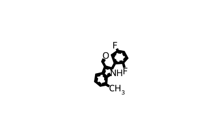 Cc1cccc2c(C=O)c(-c3cc(F)ccc3F)[nH]c12